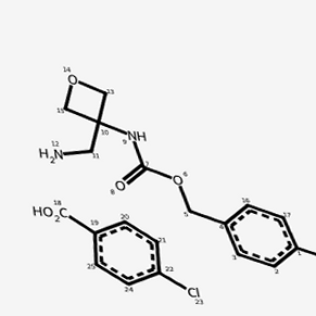 COc1ccc(COC(=O)NC2(CN)COC2)cc1.O=C(O)c1ccc(Cl)cc1